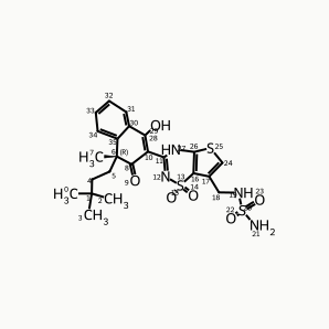 CC(C)(C)CC[C@@]1(C)C(=O)C(C2=NS(=O)(=O)c3c(CNS(N)(=O)=O)csc3N2)=C(O)c2ccccc21